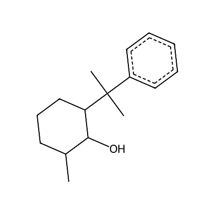 CC1CCCC(C(C)(C)c2ccccc2)C1O